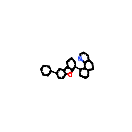 c1ccc(-c2ccc3oc4c(-c5cccc6ccc7cccnc7c56)cccc4c3c2)cc1